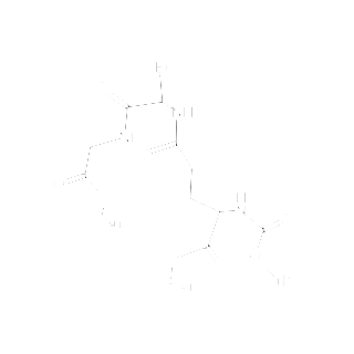 CCC(NC(=O)CCC(NC(=O)OC(C)(C)C)C(=O)OC(C)(C)C)C(=O)NCC(=O)OC(C)(C)C